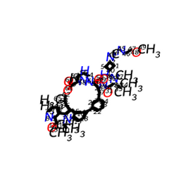 CCn1c(-c2cccnc2[C@H](C)OC)c2c3cc(ccc31)-c1cccc(c1)C[C@H](NC(=O)[C@H](C(C)C)N(C)C(=O)[C@H]1C[C@H](N=C=NCCOC)C1)C(=O)N1CCC[C@H](N1)C(=O)OCC(C)(C)C2